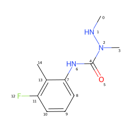 CNN(C)C(=O)Nc1cccc(F)c1C